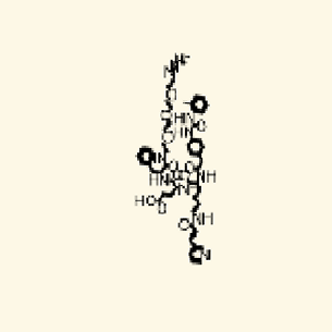 Cc1ccccc1NC(=O)Nc1ccc(CC(=O)NC(CCCCNC(=O)/C=C/c2cccnc2)C(=O)NC(CCC(=O)O)C(=O)NC(Cc2ccccc2)C(=O)NCCOCCOCCOCCN=[N+]=[N-])cc1